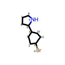 BrC1CCC(C2CCCN2)CC1